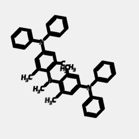 CB(c1c(C)cc(N(c2ccccc2)c2ccccc2)cc1C)c1c(C)cc(N(c2ccccc2)c2ccccc2)cc1C